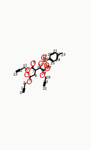 C#CCOC(=O)CC(C(=O)OCC#C)C(OS(=O)(=O)c1ccc(C)cc1)C(=O)OCC#C